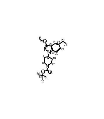 CCOc1nn(C2CCN(C(=O)OC(C)(C)C)CC2)c2ccc(CC)cc12